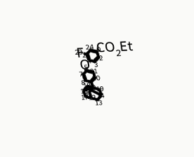 CCOC(=O)c1ccc(Oc2ccc(C34CC5CC(CC(C5)C3)C4)cc2)c(F)c1